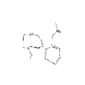 CN1CCOCC1.CNCc1ccccc1